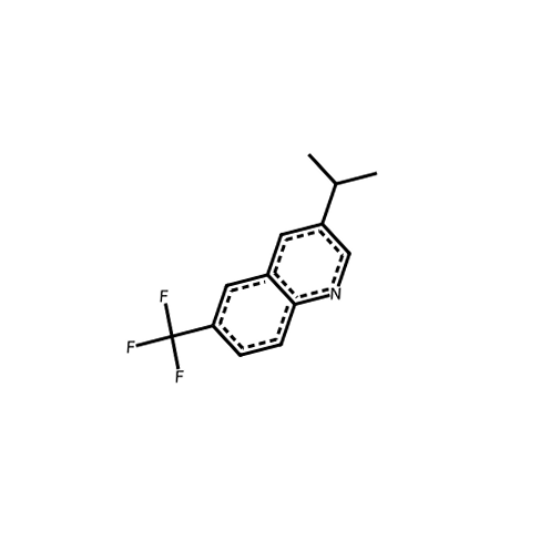 CC(C)c1cnc2ccc(C(F)(F)F)cc2c1